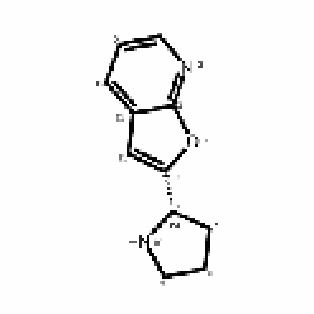 c1cnc2oc([C@@H]3CCCN3)cc2c1